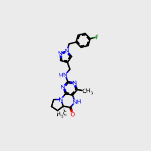 Cc1nc(NCc2cnn(Cc3ccc(F)cc3)c2)nc2c1NC(=O)[C@@]1(C)CCCN21